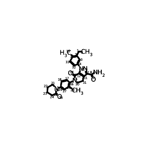 CCc1cc(-n2nc(C(N)=O)c3c2C(=O)N(c2ccc(N4CCCCC4=O)cc2C)CC3)ccc1C